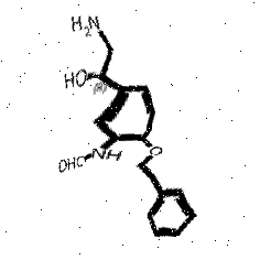 NC[C@H](O)c1ccc(OCc2ccccc2)c(NC=O)c1